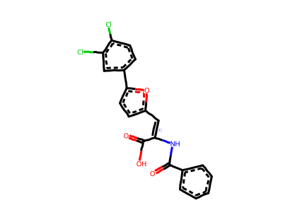 O=C(O)/C(=C\c1ccc(-c2ccc(Cl)c(Cl)c2)o1)NC(=O)c1ccccc1